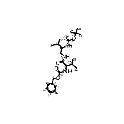 CC(C)C(CNC(=O)C(NC(=O)OCc1ccccc1)C(C)C)NC(=O)OC(C)(C)C